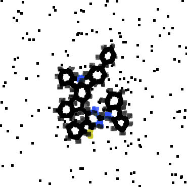 c1ccc(-c2ccc3c4cc5c(c6c7ccccc7n(c3c2)c46)-c2ccccc2C5c2nc(-n3c4ccccc4c4ccccc43)nc3sc4ccccc4c23)cc1